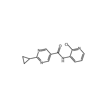 O=C(Nc1cccnc1Cl)c1cnc(C2CC2)nc1